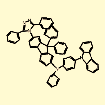 c1ccc(-c2nnc(-c3ccccc3)n2-c2ccc3c(c2)C(c2ccccc2)(c2ccccc2)c2cc(N(c4ccccc4)c4ccc(-n5c6ccccc6c6ccccc65)cc4)ccc2-3)cc1